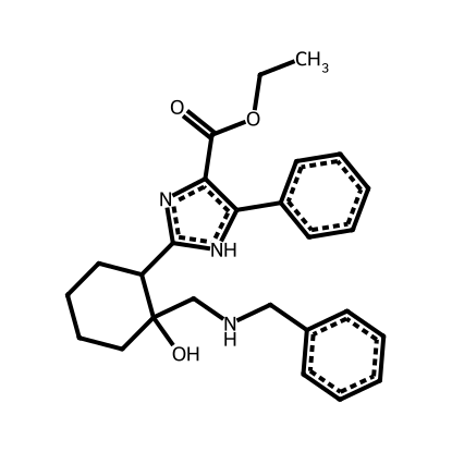 CCOC(=O)c1nc(C2CCCCC2(O)CNCc2ccccc2)[nH]c1-c1ccccc1